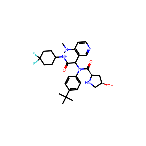 CN(C)c1ccncc1C(C(=O)NC1CCC(F)(F)CC1)N(C(=O)[C@H]1C[C@@H](O)CN1)c1ccc(C(C)(C)C)cc1